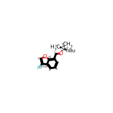 CCCC[Si](C)(C)OCc1cccc2c(F)coc12